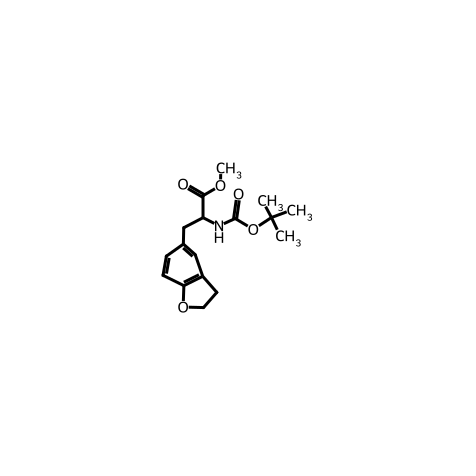 COC(=O)C(Cc1ccc2c(c1)CCO2)NC(=O)OC(C)(C)C